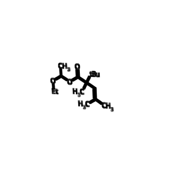 CCOC(C)OC(=O)C(C)(C=C(C)C)C(C)(C)C